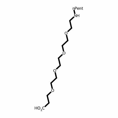 CCCCCNCCOCCOCCOCCOCCC(=O)O